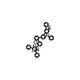 c1ccc(-c2nc(-c3ccccc3)nc(-c3cccc4c3oc3cccc(-c5ccc6c(c5)c5cc7c(cc5n6-c5ccccc5)sc5ccccc57)c34)n2)cc1